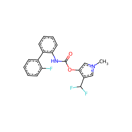 Cn1cc(OC(=O)Nc2ccccc2-c2ccccc2F)c(C(F)F)c1